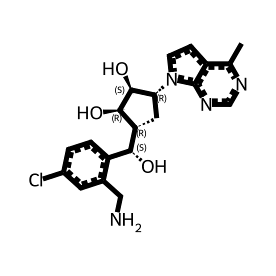 Cc1ncnc2c1ccn2[C@@H]1C[C@H]([C@H](O)c2ccc(Cl)cc2CN)[C@@H](O)[C@H]1O